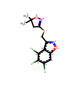 CC1(C)CC(SCc2noc3cc(F)c(F)c(F)c23)=NO1